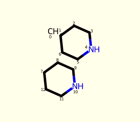 C.C1CCNCC1.C1CCNCC1